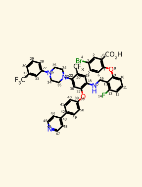 O=C(O)c1cc(Br)ccc1Oc1cccc(F)c1CNc1cc(C(F)(F)F)c(N2CCN(c3cccc(C(F)(F)F)c3)CC2)cc1Oc1ccc(-c2ccncc2)cc1